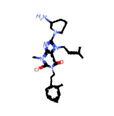 CC(C)=CCn1c(N2CCCC(N)C2)nc2c1c(=O)n(CCc1ccccc1C)c(=O)n2C